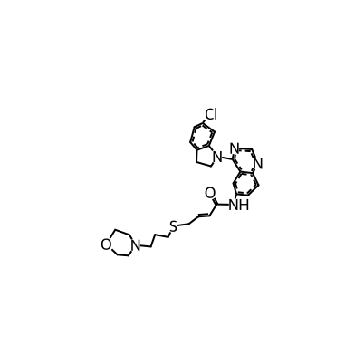 O=C(C=CCSCCCN1CCOCC1)Nc1ccc2ncnc(N3CCc4ccc(Cl)cc43)c2c1